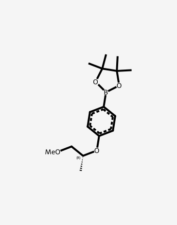 COC[C@@H](C)Oc1ccc(B2OC(C)(C)C(C)(C)O2)cc1